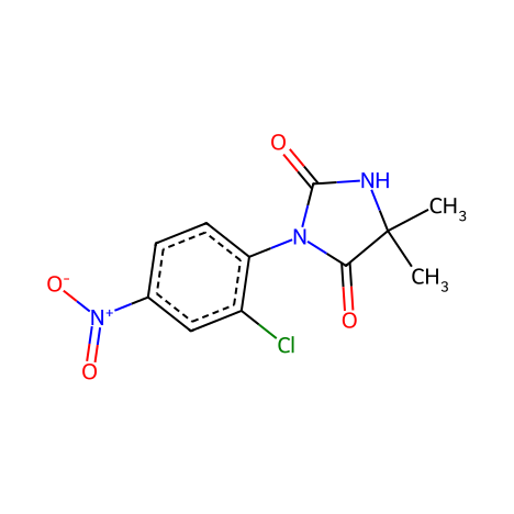 CC1(C)NC(=O)N(c2ccc([N+](=O)[O-])cc2Cl)C1=O